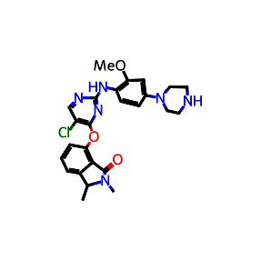 COc1cc(N2CCNCC2)ccc1Nc1ncc(Cl)c(Oc2cccc3c2C(=O)N(C)C3C)n1